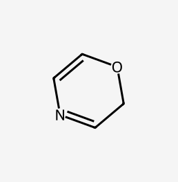 C1=COCC=N1